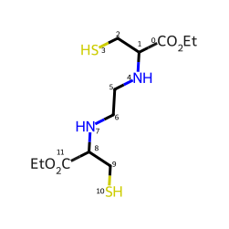 CCOC(=O)C(CS)NCCNC(CS)C(=O)OCC